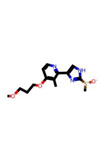 COCCCOc1ccnc(-c2c[nH]c([S+](C)[O-])n2)c1C